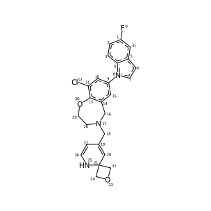 Fc1ccc2c(ccn2-c2cc(Cl)c3c(c2)CN(CC2=CC4(COC4)NC=C2)CCO3)c1